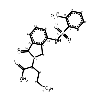 NC(=O)C(CCC(=O)O)N1Cc2c(NS(=O)(=O)c3ccccc3[N+](=O)[O-])cccc2C1=O